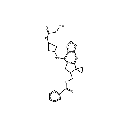 CC(C)(C)OC(=O)NC1CC(Nc2c3c(nc4ccnn24)C2(CC2)C(COC(=O)c2ccccc2)C3)C1